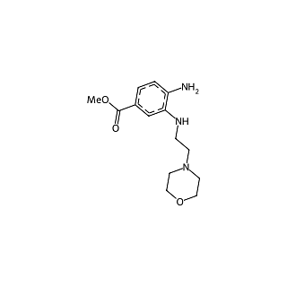 COC(=O)c1ccc(N)c(NCCN2CCOCC2)c1